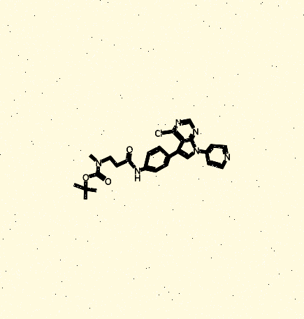 CN(CCC(=O)Nc1ccc(-c2cn(-c3ccncc3)c3ncnc(Cl)c23)cc1)C(=O)OC(C)(C)C